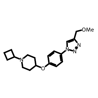 COCc1cn(-c2ccc(OC3CCN(C4CCC4)CC3)cc2)nn1